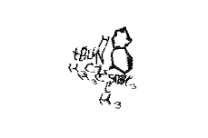 C[SiH](C)[Zr]([CH3])([CH3])([NH]C(C)(C)C)[CH]1C(Br)=Cc2ccccc21